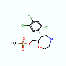 CS(=O)(=O)OC[C@@H]1OCCNC[C@H]1c1ccc(Cl)c(Cl)c1.Cl